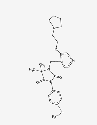 CC1(C)C(=O)N(c2ccc(SC(F)(F)F)cc2)C(=O)N1Cc1ccncc1OCCN1CCCC1